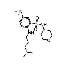 CN(C)CCCNc1ccc(N)cc1S(=O)(=O)NN1CCOCC1